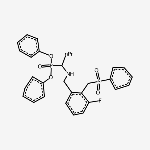 CCCC(NCc1cccc(F)c1CS(=O)(=O)c1ccccc1)P(=O)(Oc1ccccc1)Oc1ccccc1